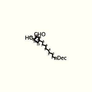 CCCCCCCCCCCCCCCCCCc1ccc(O)c(C=O)c1